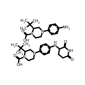 CC(C)(C)C1CN(c2ccc(N)cc2)CCN1C(=O)O.CC(C)(C)C1CN(c2ccc(NC3CCC(=O)NC3=O)cc2)CCN1C(=O)O